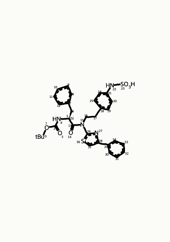 CC(C)(C)OC(=O)N[C@@H](Cc1ccccc1)C(=O)N(CCc1ccc(NS(=O)(=O)O)cc1)c1nc(-c2ccccc2)cs1